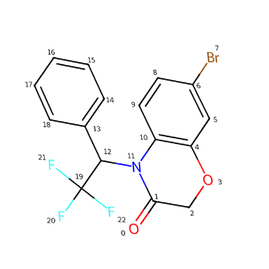 O=C1COc2cc(Br)ccc2N1C(c1ccccc1)C(F)(F)F